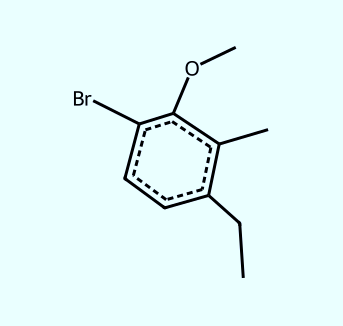 CCc1ccc(Br)c(OC)c1C